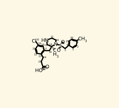 Cc1ccc(CS(=O)(=O)N2CCNC[C@]2(C)Cc2cc(Cl)ccc2CCC(=O)O)cc1